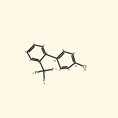 FC(F)(F)c1c[c]ccc1-c1ccc(Cl)cc1